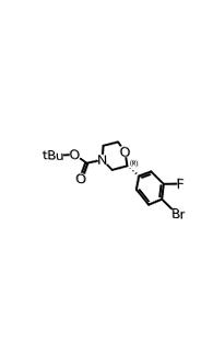 CC(C)(C)OC(=O)N1CCO[C@H](c2ccc(Br)c(F)c2)C1